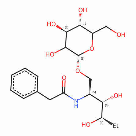 CC[C@@H](O)[C@@H](O)[C@H](CO[C@H]1OC(CO)[C@@H](O)[C@H](O)C1O)NC(=O)Cc1ccccc1